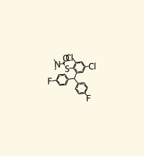 CN(C)C(=O)Sc1c(Cl)cc(Cl)cc1C(c1ccc(F)cc1)c1ccc(F)cc1